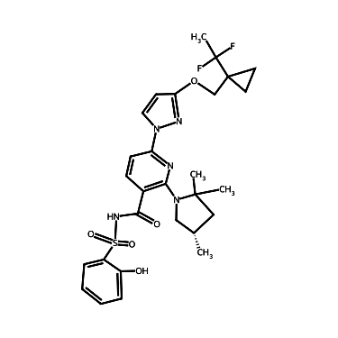 C[C@@H]1CN(c2nc(-n3ccc(OCC4(C(C)(F)F)CC4)n3)ccc2C(=O)NS(=O)(=O)c2ccccc2O)C(C)(C)C1